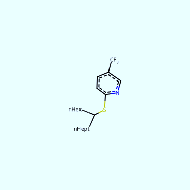 CCCCCCCC(CCCCCC)Sc1ccc(C(F)(F)F)cn1